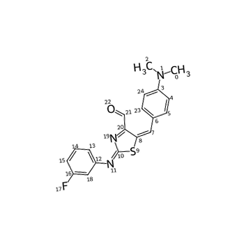 CN(C)c1ccc(C=C2SC(=Nc3cccc(F)c3)N=C2C=O)cc1